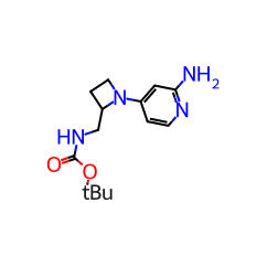 CC(C)(C)OC(=O)NCC1CCN1c1ccnc(N)c1